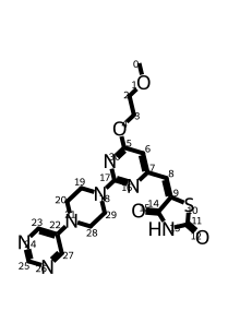 COCCOc1cc(C=C2SC(=O)NC2=O)nc(N2CCN(c3cncnc3)CC2)n1